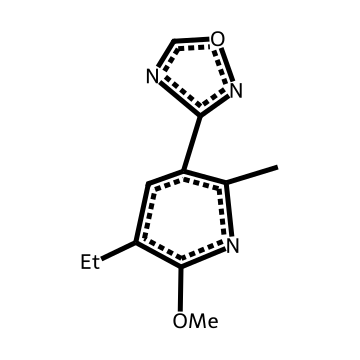 CCc1cc(-c2ncon2)c(C)nc1OC